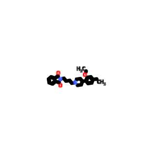 CCOc1cc(CC)ccc1C1CCN(CCCCN2C(=O)c3ccccc3C2=O)CC1